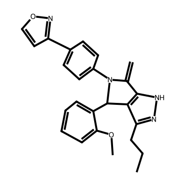 C=C1c2[nH]nc(CCC)c2C(c2ccccc2OC)N1c1ccc(-c2ccon2)cc1